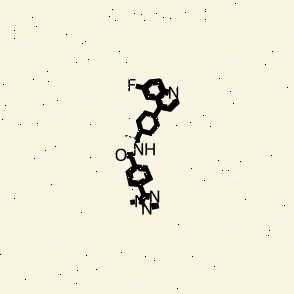 C[C@@H](NC(=O)c1ccc(-c2ncnn2C)cc1)C1CCC(c2ccnc3ccc(F)cc23)CC1